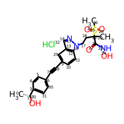 C[C@@H](O)c1ccc(C#Cc2ccc3c(cnn3CCC(C)(C(=O)NO)S(C)(=O)=O)c2)cc1.Cl